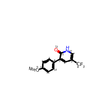 COc1ccc(-c2cc(C(F)(F)F)c[nH]c2=O)cc1